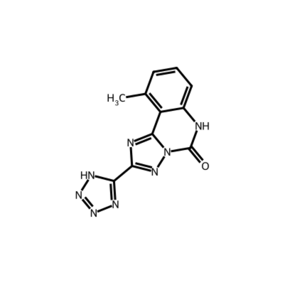 Cc1cccc2[nH]c(=O)n3nc(-c4nnn[nH]4)nc3c12